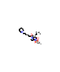 CCC[C@@H]1C(=O)N(S(C)(=O)=O)C2=CCN(C(=O)CCCCCN3C=CC=CC=C3)[C@H]21